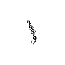 CC/C=C/C1COC(C2COC(CCc3ccc(OC(F)(F)F)cc3)OC2)OC1